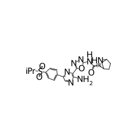 CC(C)S(=O)(=O)c1ccc(-c2cnc(N)c(-c3nnc(NC(=O)[C@H]4NC5CCC4C5)o3)n2)cc1